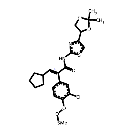 CSOOc1ccc(/C(=C\C2CCCC2)C(=O)Nc2nc(C3COC(C)(C)O3)cs2)cc1Cl